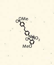 COC(=O)c1ccc(CCc2ccc(NC(=O)c3cc(OC)ccc3[N+](=O)[O-])cc2)cc1